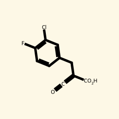 O=C=C(Cc1ccc(F)c(Cl)c1)C(=O)O